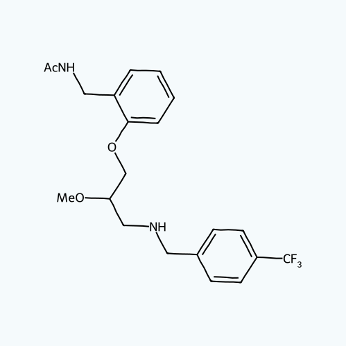 COC(CNCc1ccc(C(F)(F)F)cc1)COc1ccccc1CNC(C)=O